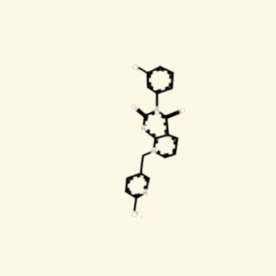 O=c1nc2n(Cc3ccc(C(F)(F)F)nc3)cccc-2c(=O)n1-c1cccc(Cl)c1